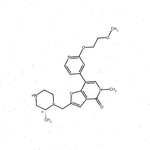 COCCOc1cc(-c2cn(C)c(=O)c3cc(CN4CCNC[C@H]4C)oc23)ccn1